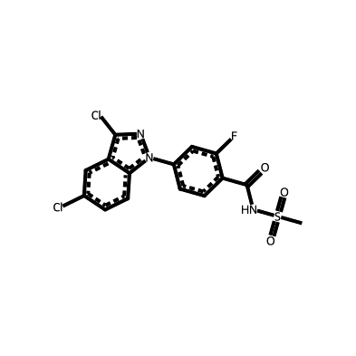 CS(=O)(=O)NC(=O)c1ccc(-n2nc(Cl)c3cc(Cl)ccc32)cc1F